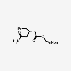 CCCCCCCCCCOC(=O)C[C@H](CC(N)=O)CC(C)C